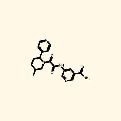 CC1CCC(c2ccncc2)N(C(=O)C(=O)Nc2cncc(C(N)=O)c2)C1